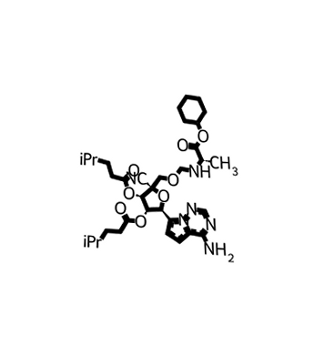 CC(C)CCC(=O)O[C@H]1[C@H](c2ccc3c(N)ncnn23)O[C@](C#N)(COCN[C@@H](C)C(=O)OC2CCCCC2)[C@H]1OC(=O)CCC(C)C